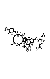 CC[C@H]1CCC[C@H](O[C@H]2CC[C@H](N(C)C)C(C)O2)[C@@H](C)C(=O)C2=C[C@H]3[C@@H]4C[C@H](OC(OC(C)[C@@H](C)OC)[C@H](COC)OC)C[C@H]4c4[nH]c(=S)[nH]c4[C@H]3[C@@H]2CC(=O)O1